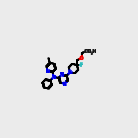 Cc1ccc(N(c2ccccc2)c2cncc(N3CCC(F)(COCC(=O)O)CC3)n2)nc1